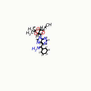 C#C[C@H]1O[C@@H](n2cnc3c(C(N)C4CCCCC4)ncnc32)[C@@H]2OC(C)(C)O[C@@H]21